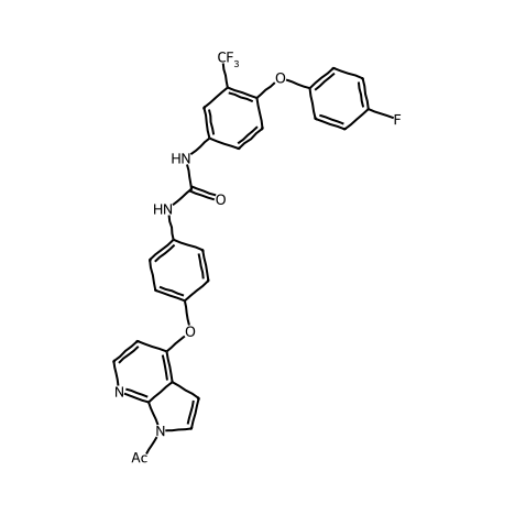 CC(=O)n1ccc2c(Oc3ccc(NC(=O)Nc4ccc(Oc5ccc(F)cc5)c(C(F)(F)F)c4)cc3)ccnc21